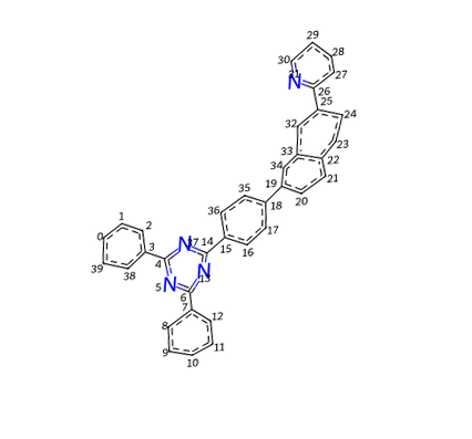 c1ccc(-c2nc(-c3ccccc3)nc(-c3ccc(-c4ccc5ccc(-c6ccccn6)cc5c4)cc3)n2)cc1